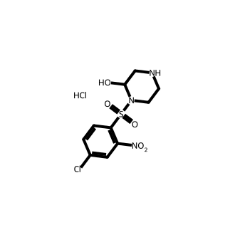 Cl.O=[N+]([O-])c1cc(Cl)ccc1S(=O)(=O)N1CCNCC1O